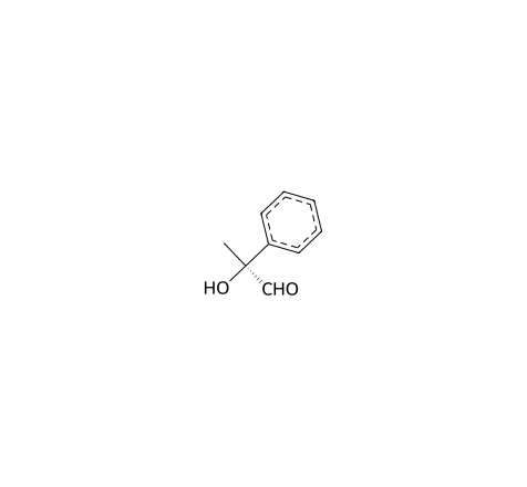 C[C@@](O)(C=O)c1ccccc1